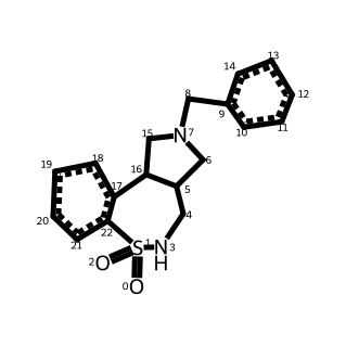 O=S1(=O)NCC2CN(Cc3ccccc3)CC2c2ccccc21